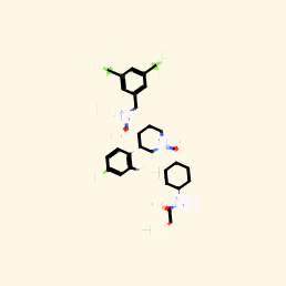 Cc1cc(F)ccc1[C@@H]1CN(C(=O)[C@H]2CC[C@H](NC(=O)CO)CC2)CC[C@H]1C(=O)N(C)Cc1cc(C(F)(F)F)cc(C(F)(F)F)c1